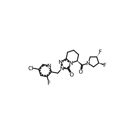 O=C([C@@H]1CCCc2nn(Cc3ncc(Cl)cc3F)c(=O)n21)N1C[C@H](F)[C@@H](F)C1